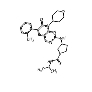 Cc1ccccc1-c1cc2cnc(N[C@H]3CCN(C(=S)NC(C)C)C3)nc2n(C2CCOCC2)c1=O